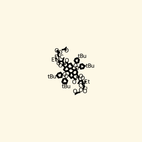 CCN(CCC(=O)OCC1CO1)C(=O)C(CC(F)(F)F)N1C(=O)c2cc(Oc3ccc(C(C)(C)C)cc3)c3c4c(Oc5ccc(C(C)(C)C)cc5)cc5c6c(cc(Oc7ccc(C(C)(C)C)cc7)c(c7c(Oc8ccc(C(C)(C)C)cc8)cc(c2c37)C1=O)c64)C(=O)N(C(CC(F)(F)F)C(=O)N(CC)CCC(=O)OCC1CO1)C5=O